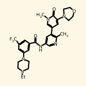 CCN1CCN(c2cc(C(=O)Nc3cnc(C)c(-c4cc(N5CCOCC5)c(=O)n(C)c4)c3)cc(C(F)(F)F)c2)CC1